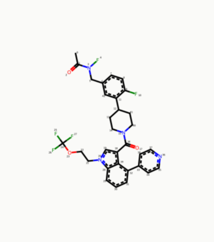 CC(=O)N(F)Cc1ccc(F)c(C2CCN(C(=O)c3cn(CCOC(F)(F)F)c4cccc(-c5ccncc5)c34)CC2)c1